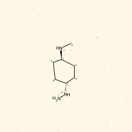 CN[C@H]1CC[C@H](NN)CC1